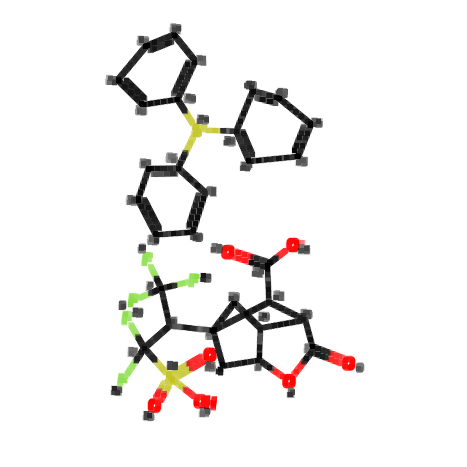 O=C1OC2CC3(C(C(F)(F)F)C(F)(F)S(=O)(=O)O)CC2C1C3C(=O)[O-].c1ccc([S+](c2ccccc2)c2ccccc2)cc1